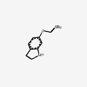 CC(C)(C)COc1ccc2c(c1)NCC2